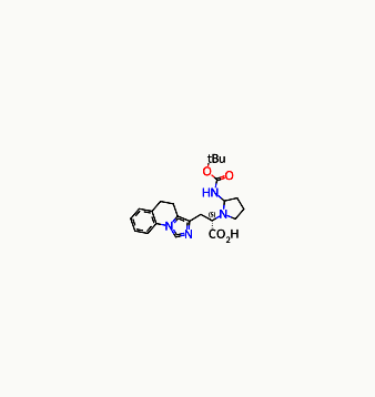 CC(C)(C)OC(=O)NC1CCCN1[C@@H](Cc1ncn2c1CCc1ccccc1-2)C(=O)O